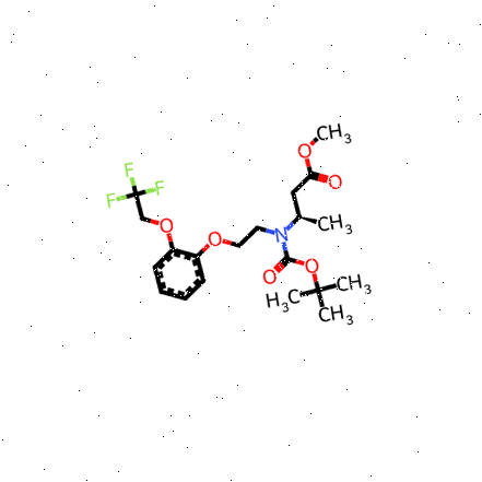 COC(=O)C[C@@H](C)N(CCOc1ccccc1OCC(F)(F)F)C(=O)OC(C)(C)C